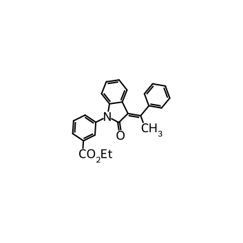 CCOC(=O)c1cccc(N2C(=O)C(=C(C)c3ccccc3)c3ccccc32)c1